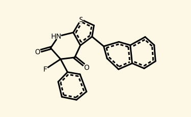 O=C1Nc2scc(-c3ccc4ccccc4c3)c2C(=O)C1(F)c1ccccc1